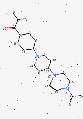 CC(C)C(=O)C1CCC(N2CCC(N3CCN(C(C)C)CC3)CC2)CC1